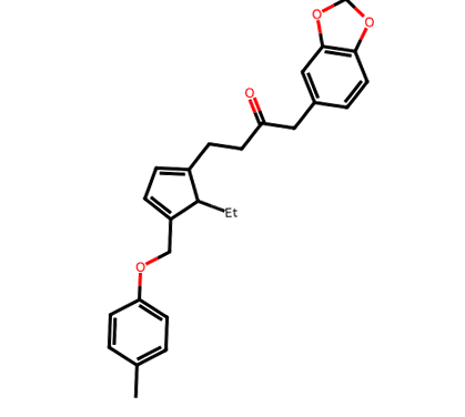 CCC1C(CCC(=O)Cc2ccc3c(c2)OCO3)=CC=C1COc1ccc(C)cc1